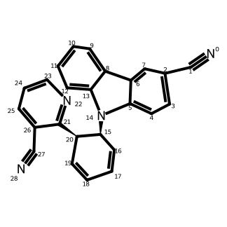 N#Cc1ccc2c(c1)c1ccccc1n2[C@H]1C=CC=C[C@H]1c1ncccc1C#N